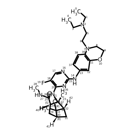 CCN(CC)CCN1CCOc2cc(Nc3ncc(F)c(N[C@@]4(C)[C@@H](C(=O)NC)C[C@H]5C[C@@H]4C5(C)C)n3)ccc21